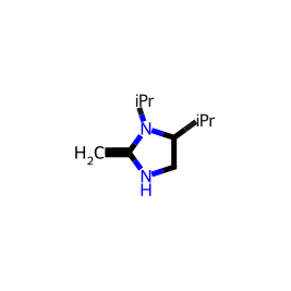 C=C1NCC(C(C)C)N1C(C)C